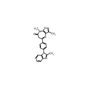 Cc1nsc2c1N=C(c1ccc(-n3c(C)nc4cnccc43)cc1)CC(=O)N2C